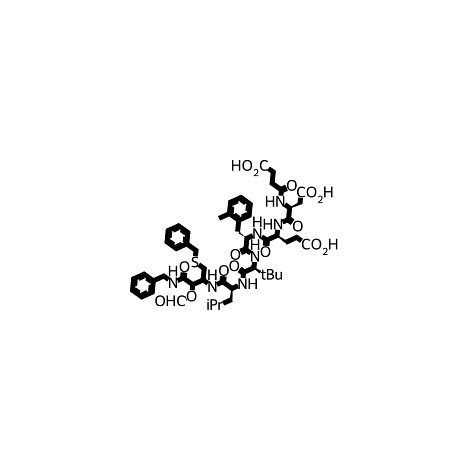 Cc1ccccc1C[C@H](NC(=O)[C@H](CCC(=O)O)NC(=O)[C@H](CC(=O)O)NC(=O)CCC(=O)O)C(=O)N[C@H](C(=O)N[C@@H](CC(C)C)C(=O)NC(CSCc1ccccc1)C(OC=O)C(=O)NCc1ccccc1)C(C)(C)C